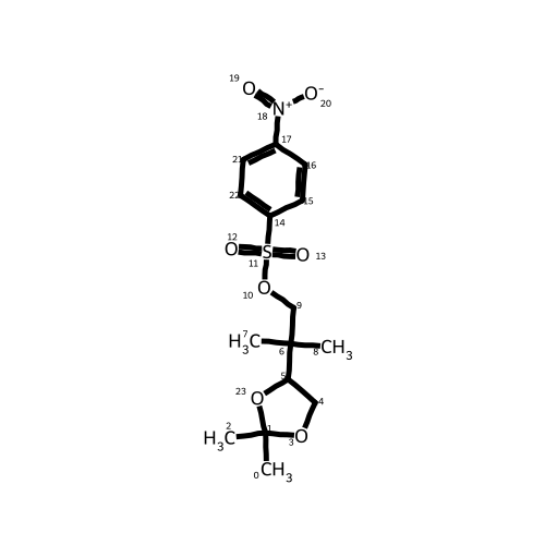 CC1(C)OCC(C(C)(C)COS(=O)(=O)c2ccc([N+](=O)[O-])cc2)O1